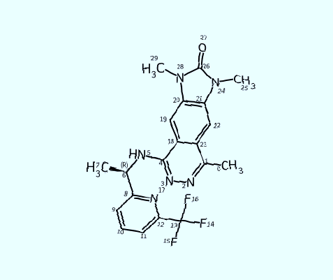 Cc1nnc(N[C@H](C)c2cccc(C(F)(F)F)n2)c2cc3c(cc12)n(C)c(=O)n3C